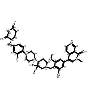 COc1cc(-c2cn(C)c(=O)c3cnccc23)cc(Cl)c1CN1CC[C@@H](N2CCN(c3ccc(N[C@@H]4CCC(=O)NC4=O)cc3F)CC2)C(F)(F)C1